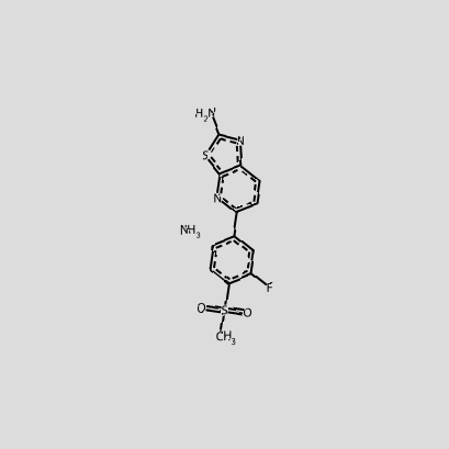 CS(=O)(=O)c1ccc(-c2ccc3nc(N)sc3n2)cc1F.N